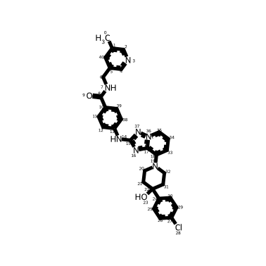 Cc1cncc(CNC(=O)c2ccc(Nc3nc4c(N5CCC(O)(c6ccc(Cl)cc6)CC5)cccn4n3)cc2)c1